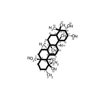 C[C@@H]1CC[C@]2(C(=O)O)CC[C@]3(C)C(=CC[C@@H]4[C@@]5(C)C[C@@H](O)[C@@H](O)C(C)(C)C5CC[C@]43C)[C@@H]2[C@]1(C)O